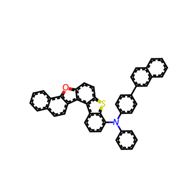 c1ccc(N(c2ccc(-c3ccc4ccccc4c3)cc2)c2cccc3c2sc2ccc4oc5c6ccccc6ccc5c4c23)cc1